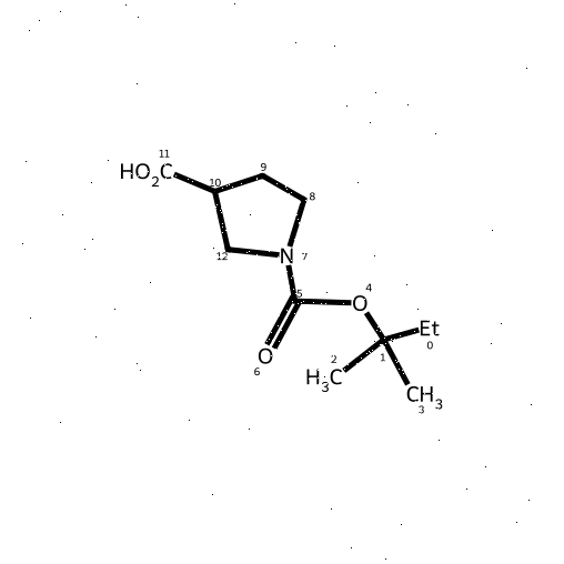 CCC(C)(C)OC(=O)N1CCC(C(=O)O)C1